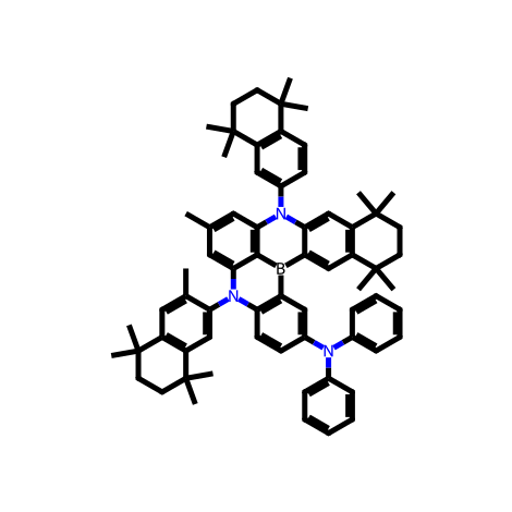 Cc1cc2c3c(c1)N(c1cc4c(cc1C)C(C)(C)CCC4(C)C)c1ccc(N(c4ccccc4)c4ccccc4)cc1B3c1cc3c(cc1N2c1ccc2c(c1)C(C)(C)CCC2(C)C)C(C)(C)CCC3(C)C